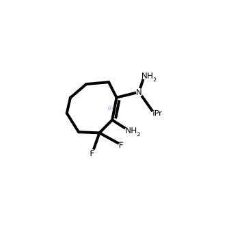 CC(C)N(N)/C1=C(\N)C(F)(F)CCCCC1